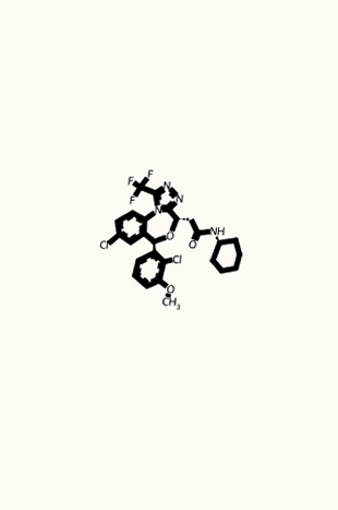 COc1cccc([C@@H]2O[C@@H](CC(=O)N[C@H]3[CH]CCCC3)c3nnc(C(F)(F)F)n3-c3ccc(Cl)cc32)c1Cl